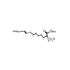 CCCCCCC=CCCCCCCC(C(=O)O)C(=O)OC